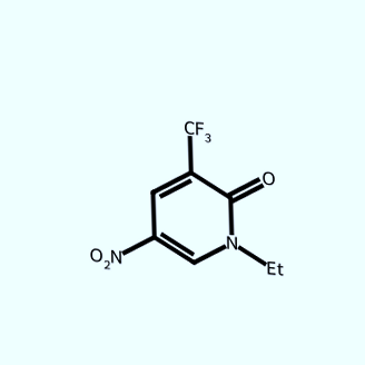 CCn1cc([N+](=O)[O-])cc(C(F)(F)F)c1=O